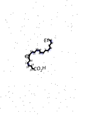 CC/C=C\C/C=C\C\C=C/C=C\C=C\C1OC1C/C=C\CCC(=O)O